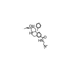 CC#C[C@@]1(O)CC[C@@]2(Cc3ccccc3)c3ccc(C(=O)NCCN(C)C)cc3CC[C@@H]2C1